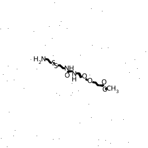 COC(=O)CCCOCOC=CNCC(=O)NCCSSCCN